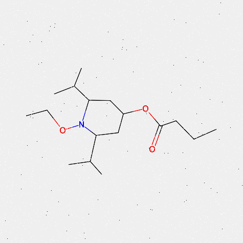 CCCC(=O)OC1CC(C(C)C)N(OCC)C(C(C)C)C1